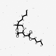 CCCCCC1(C)CSC(CC(=O)OCCCC)C(=O)O1